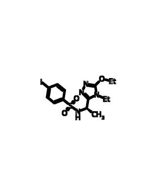 CCOc1nnc([C@@H](C)NS(=O)(=O)c2ccc(I)cc2)n1CC